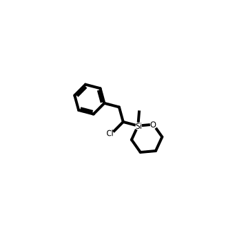 C[Si]1(C(Cl)Cc2ccccc2)CCCCO1